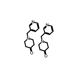 O=C1CCN(Cc2cccnc2)CC1.O=C1CCN(Cc2cccnc2)CC1